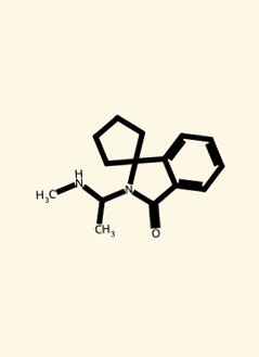 CNC(C)N1C(=O)c2ccccc2C12CCCC2